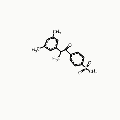 Cc1cc(C)cc(C(C)C(=O)c2ccc(S(C)(=O)=O)cc2)c1